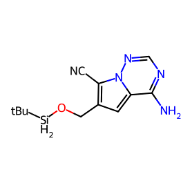 CC(C)(C)[SiH2]OCc1cc2c(N)ncnn2c1C#N